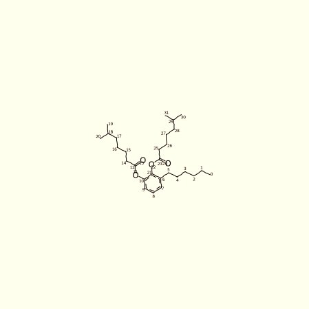 CCCCCCc1cccc(OC(=O)CCCCC(C)C)c1OC(=O)CCCCC(C)C